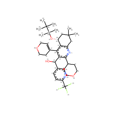 CC1(C)Cc2nc(C3CCOCC3)c(C(O)c3ccc(C(F)(F)F)nc3)c(C3=CCOCC3)c2[C@H](O[Si](C)(C)C(C)(C)C)C1